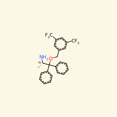 C[C@H](N)C(OCc1cc(C(F)(F)F)cc(C(F)(F)F)c1)(c1ccccc1)c1ccccc1